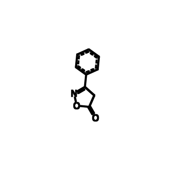 O=C1CC(c2ccccc2)=NO1